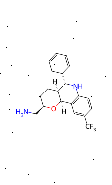 NC[C@H]1CC[C@@H]2[C@H](O1)c1cc(C(F)(F)F)ccc1N[C@H]2C1C=CC=CC1